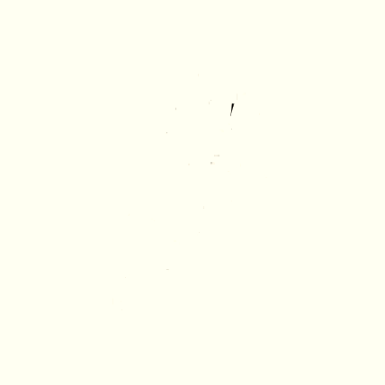 C[C@H]1CC[C@H]2C(C)(C)CCC[C@]2(C)[C@H]1CCC(=O)c1cc(O)cc(O)c1